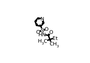 CCC(C)(C)C(=O)NS(=O)(=O)c1cccnc1